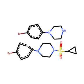 Brc1ccc(N2CCNCC2)cc1.O=S(=O)(C1CC1)N1CCN(c2ccc(Br)cc2)CC1